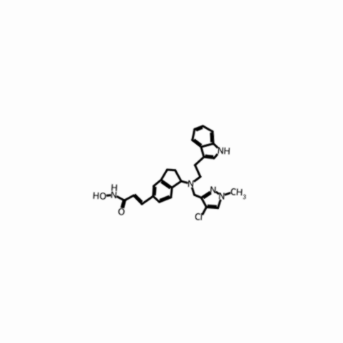 Cn1cc(Cl)c(CN(CCc2c[nH]c3ccccc23)C2CCc3cc(/C=C/C(=O)NO)ccc32)n1